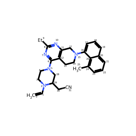 C=CN1CCN(c2nc(CC)nc3c2CCN(c2cccc4cccc(C)c24)C3)CC1CC#N